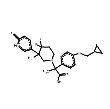 CC(C(N)=O)(c1ccc(OCC2CC2)cn1)N1CCC(F)(F)C(C)(c2ccc(=O)[nH]c2)C1